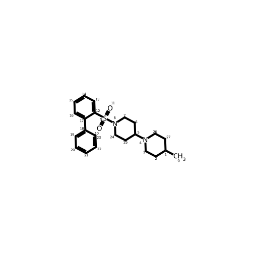 CC1CCN(C2CCN(S(=O)(=O)c3ccccc3-c3ccccc3)CC2)CC1